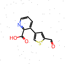 O=Cc1cc(-c2cccnc2C(=O)O)cs1